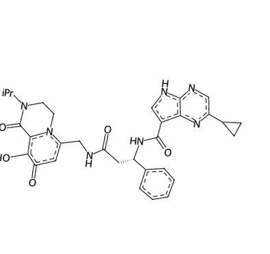 CC(C)N1CCn2c(CNC(=O)C[C@H](NC(=O)c3c[nH]c4ncc(C5CC5)nc34)c3ccccc3)cc(=O)c(O)c2C1=O